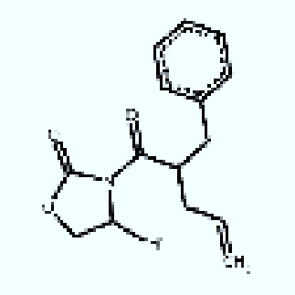 C=CCC(Cc1ccccc1)C(=O)N1C(=O)OCC1C(C)C